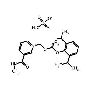 CNC(=O)c1ccc[n+](COC(=O)Oc2c(C(C)C)cccc2C(C)C)c1.CS(=O)(=O)[O-]